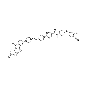 N#Cc1ccc(O[C@H]2CC[C@H](NC(=O)c3cnc(N4CCC(CCN5CCN(c6ccc7c(c6)C(=O)N(C6CCC(=O)NC6=O)C7=O)CC5)CC4)nc3)CC2)cc1Cl